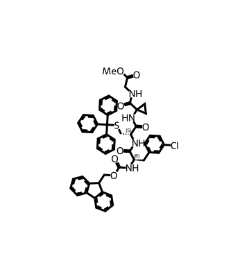 COC(=O)CNC(=O)C1(NC(=O)[C@@H](CSC(c2ccccc2)(c2ccccc2)c2ccccc2)NC(=O)[C@@H](Cc2cccc(Cl)c2)NC(=O)OCC2c3ccccc3-c3ccccc32)CC1